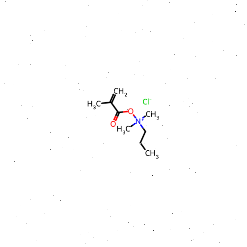 C=C(C)C(=O)O[N+](C)(C)CCC.[Cl-]